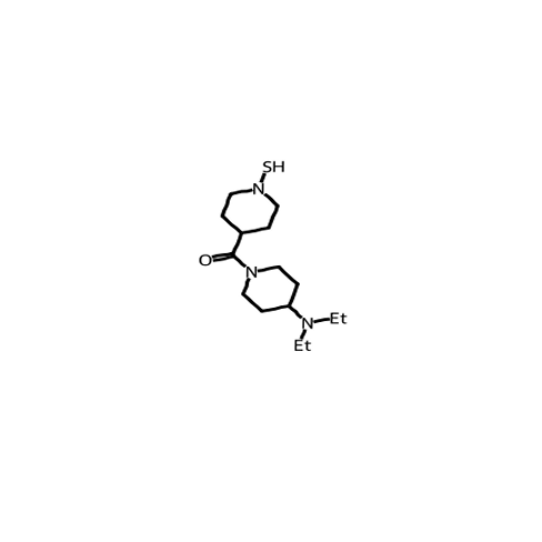 CCN(CC)C1CCN(C(=O)C2CCN(S)CC2)CC1